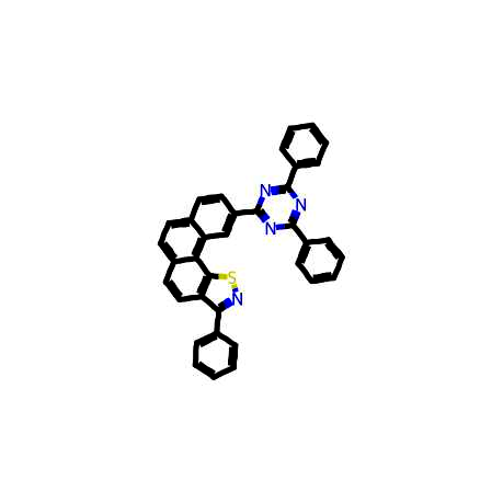 c1ccc(-c2nc(-c3ccccc3)nc(-c3ccc4ccc5ccc6c(-c7ccccc7)nsc6c5c4c3)n2)cc1